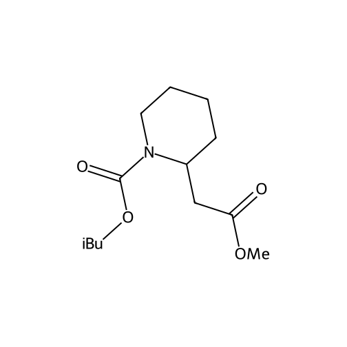 CCC(C)OC(=O)N1CCCCC1CC(=O)OC